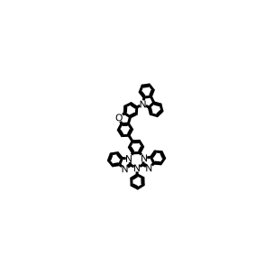 c1ccc(-n2c3nc4ccccc4n3c3ccc(-c4ccc5oc6ccc(-n7c8ccccc8c8ccccc87)cc6c5c4)cc3n3c4ccccc4nc23)cc1